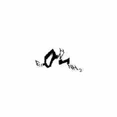 CCc1ccc(NCCN)cc1